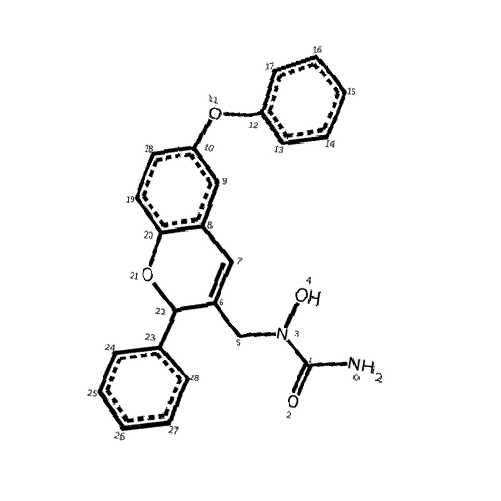 NC(=O)N(O)CC1=Cc2cc(Oc3ccccc3)ccc2OC1c1ccccc1